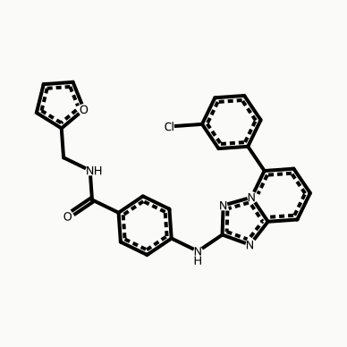 O=C(NCc1ccco1)c1ccc(Nc2nc3cccc(-c4cccc(Cl)c4)n3n2)cc1